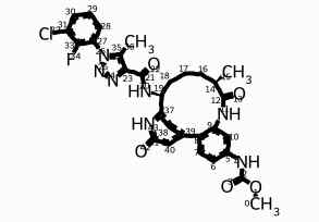 COC(=O)Nc1ccc2c(c1)NC(=O)[C@H](C)CCC[C@H](NC(=O)c1nnn(-c3cccc(Cl)c3F)c1C)c1cc-2cc(=O)[nH]1